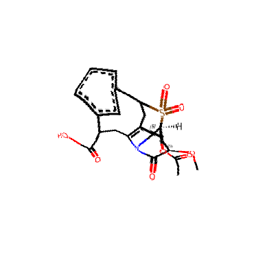 CO[C@H]1C(=O)N2C3=C(COC(C)=O)C(c4cccc(c4)C3C(=O)O)S(=O)(=O)[C@@H]12